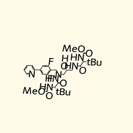 COC(=O)NC(C(=O)NC[C@@H](O)CN(Cc1c(F)cc(-c2ccccn2)cc1F)NC(=O)[C@@H](NC(=O)OC)C(C)(C)C)C(C)(C)C